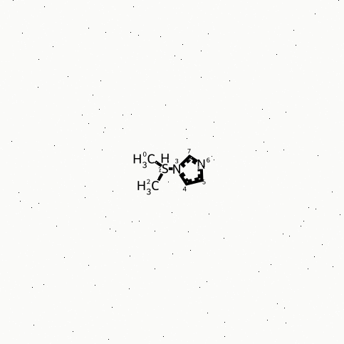 C[SH](C)n1ccnc1